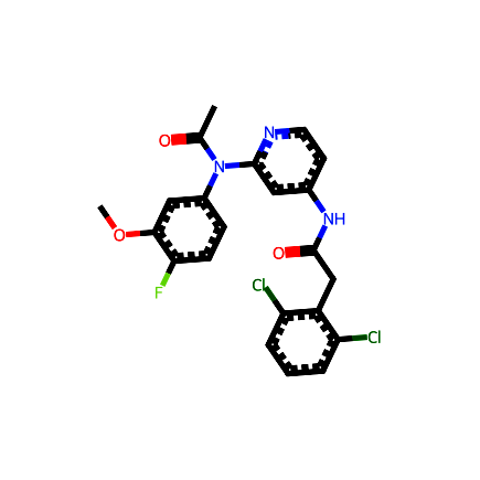 COc1cc(N(C(C)=O)c2cc(NC(=O)Cc3c(Cl)cccc3Cl)ccn2)ccc1F